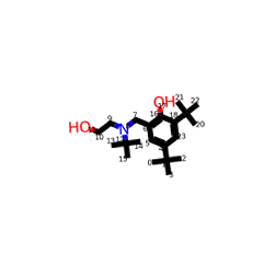 CC(C)(C)c1cc(CN(CCO)C(C)(C)C)c(O)c(C(C)(C)C)c1